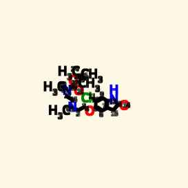 CN(CCOc1cc2c(cc1Cl)NC(=O)C2)CCN(C)C(=O)OC(C)(C)C